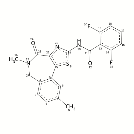 Cc1ccc2c(c1)-c1sc(NC(=O)c3c(F)cccc3F)nc1C(=O)N(C)C2